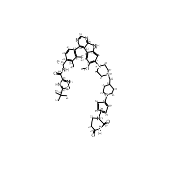 COc1cc2c(cc1N1CCN(CC3CCN(c4ccc(N5CCC(=O)NC5=O)cc4)CC3)CC1)[nH]c1ncnc(-c3ccc([C@@H](C)NC(=O)c4noc(C(C)(C)C)n4)c(C)c3F)c12